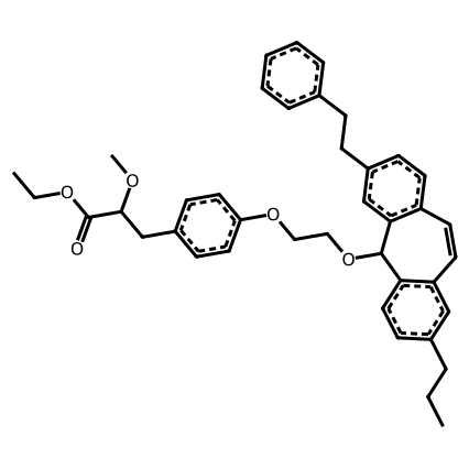 CCCc1ccc2c(c1)C=Cc1ccc(CCc3ccccc3)cc1C2OCCOc1ccc(CC(OC)C(=O)OCC)cc1